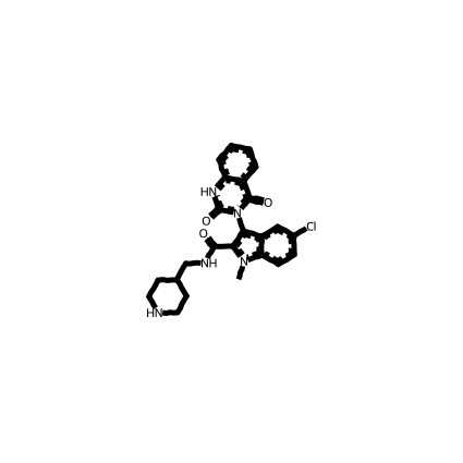 Cn1c(C(=O)NCC2CCNCC2)c(-n2c(=O)[nH]c3ccccc3c2=O)c2cc(Cl)ccc21